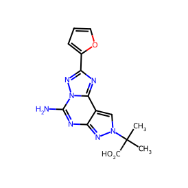 CC(C)(C(=O)O)n1cc2c(nc(N)n3nc(-c4ccco4)nc23)n1